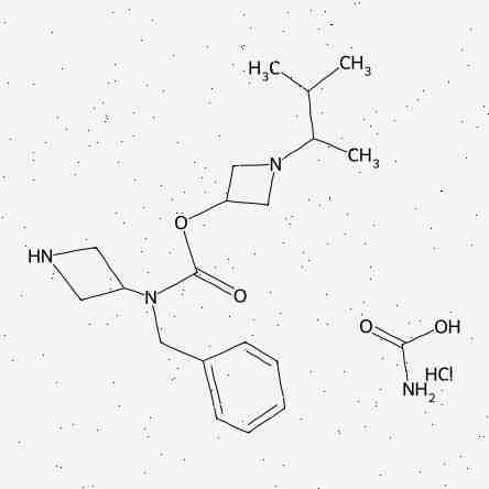 CC(C)C(C)N1CC(OC(=O)N(Cc2ccccc2)C2CNC2)C1.Cl.NC(=O)O